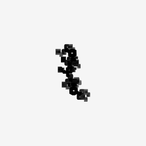 C=C(C)c1cccc(C(C)(C)NC(=O)OCC(CBr)(CBr)COC(=O)NC(C)(C)c2cccc(C(=C)C)c2)c1